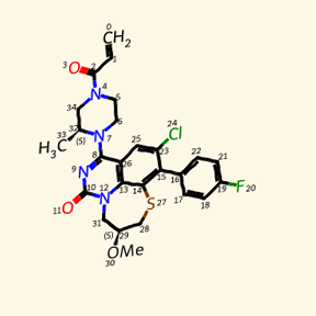 C=CC(=O)N1CCN(c2nc(=O)n3c4c(c(-c5ccc(F)cc5)c(Cl)cc24)SC[C@@H](OC)C3)[C@@H](C)C1